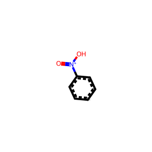 O=[N+](O)c1cc[c]cc1